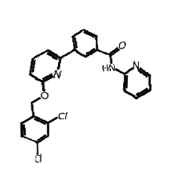 O=C(Nc1ccccn1)c1cccc(-c2cccc(OCc3ccc(Cl)cc3Cl)n2)c1